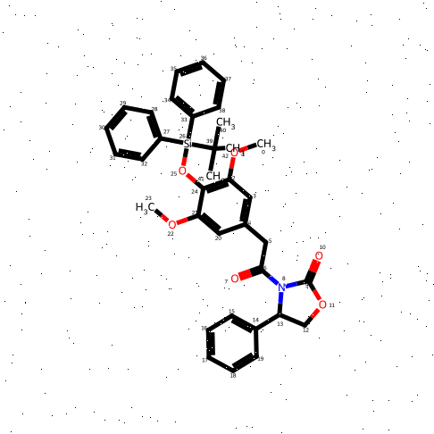 COc1cc(CC(=O)N2C(=O)OCC2c2ccccc2)cc(OC)c1O[Si](c1ccccc1)(c1ccccc1)C(C)(C)C